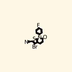 N#Cc1sc2c(ccc(=O)n2-c2ccc(F)cc2)c1Br